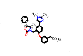 CCOC(=O)Cc1cccc(Oc2ccc(-c3cn(C)c(C)n3)cc2CN2C(=O)O[C@H](c3ccccc3)[C@@H]2C)c1